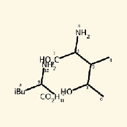 CC(O)C(C)C(N)C(=O)O.CCC(C)C(N)C(=O)O